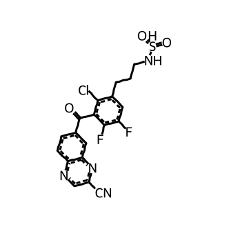 N#Cc1cnc2ccc(C(=O)c3c(F)c(F)cc(CCCN[SH](=O)=O)c3Cl)cc2n1